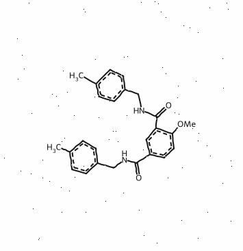 COc1ccc(C(=O)NCc2ccc(C)cc2)cc1C(=O)NCc1ccc(C)cc1